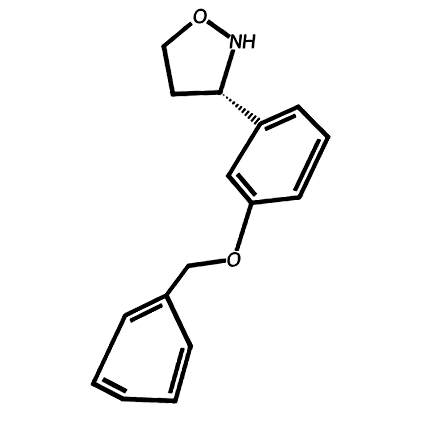 c1ccc(COc2cccc([C@@H]3CCON3)c2)cc1